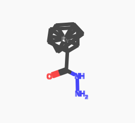 NNC(=O)[C]12[CH]3[CH]4[CH]5[CH]1[Fe]45321678[CH]2[CH]1[CH]6[CH]7[CH]28